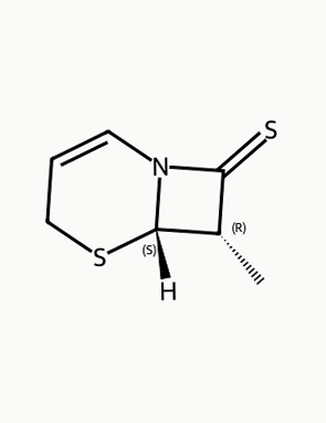 C[C@H]1C(=S)N2C=CCS[C@@H]12